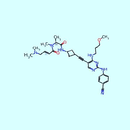 COCCCNc1nc(Nc2ccc(C#N)cc2)ncc1C#CC1CC(NC(=O)[C@H](C)N(C)C(=O)/C=C/CN(C)C)C1